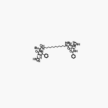 CCC(C)[C@H](NC(=O)[C@H](Cc1cnc[nH]1)NC(=O)c1ccccc1)C(=O)NCCCCCCCCCCCCNC(=O)[C@H](NC(=O)[C@@H](Cc1cnc[nH]1)NC(=O)c1ccccc1)C(C)CC